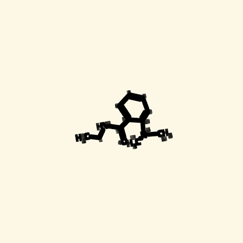 CCNC(=O)c1ccccc1N(C)C